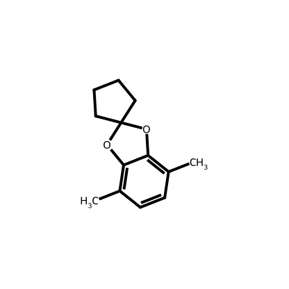 Cc1ccc(C)c2c1OC1(CCCC1)O2